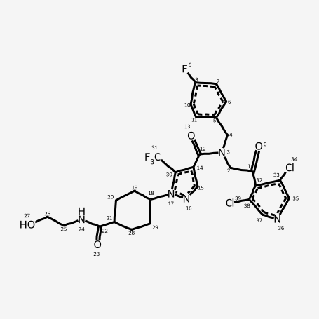 O=C(CN(Cc1ccc(F)cc1)C(=O)c1cnn(C2CCC(C(=O)NCCO)CC2)c1C(F)(F)F)c1c(Cl)cncc1Cl